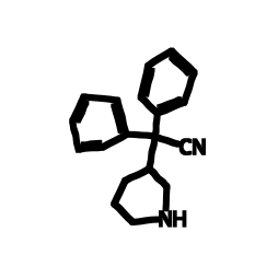 N#CC(c1ccccc1)(c1ccccc1)C1CCCNC1